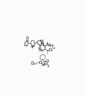 COCCO[C@]1(C(N)=O)CC[C@H](c2nc3c(-c4ccc(-c5ccc[nH]5)nc4)cnn3c(N)c2C(C)=O)CC1